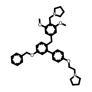 COc1cc(Cc2ccc(OCc3ccccc3)cc2-c2ccc(OCCN3CCCC3)cc2)cc(OC)c1CN1CCCC1